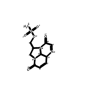 CS(=O)(=O)OCC1CN2C(=O)C=CC3N=CC(=O)N1C32